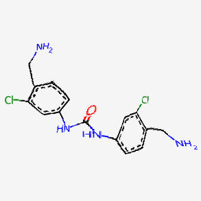 NCc1ccc(NC(=O)Nc2ccc(CN)c(Cl)c2)cc1Cl